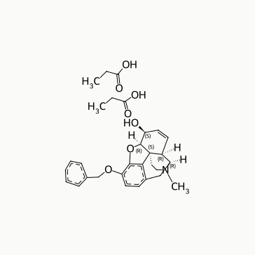 CCC(=O)O.CCC(=O)O.CN1CC[C@]23c4c5ccc(OCc6ccccc6)c4O[C@H]2[C@@H](O)C=C[C@H]3[C@H]1C5